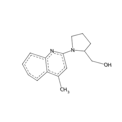 Cc1cc(N2CCCC2CO)nc2ccccc12